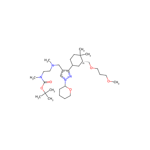 COCCCOC[C@@H]1CC(c2nn(C3CCCCO3)cc2CN(C)CCN(C)C(=O)OC(C)(C)C)CCC1(C)C